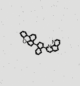 c1ccc2c(c1)Oc1ccc(-c3ccc(-c4ccc5ccc6cccnc6c5n4)c4ccccc34)c3cccc-2c13